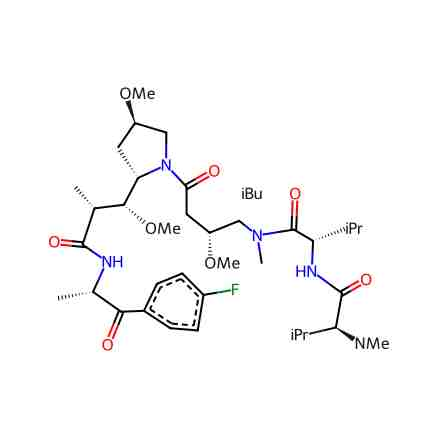 CC[C@H](C)C([C@@H](CC(=O)N1C[C@H](OC)C[C@H]1[C@H](OC)[C@@H](C)C(=O)N[C@@H](C)C(=O)c1ccc(F)cc1)OC)N(C)C(=O)[C@@H](NC(=O)[C@@H](NC)C(C)C)C(C)C